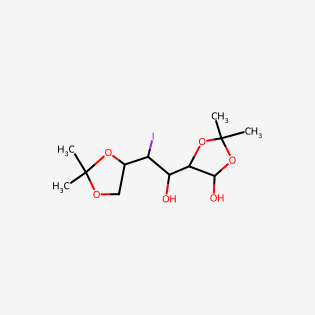 CC1(C)OCC(C(I)C(O)C2OC(C)(C)OC2O)O1